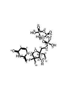 C=C1NC(=O)C=CN1[C@@H]1O[C@](CF)(COP(=O)(O)OP(=O)(O)OP(=O)(O)O)[C@@H](O)C1(F)F